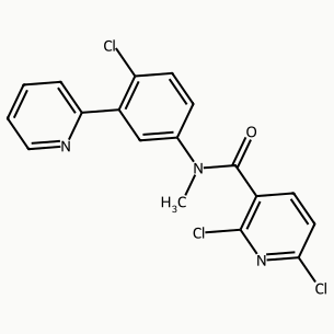 CN(C(=O)c1ccc(Cl)nc1Cl)c1ccc(Cl)c(-c2ccccn2)c1